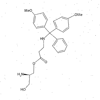 COc1ccc(C(NCCC(=O)OC[C@H](N)CO)(c2ccccc2)c2ccc(OC)cc2)cc1